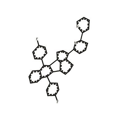 Fc1ccc(-c2c3c(c(-c4ccc(F)cc4)c4ccccc24)-c2ccc(-c4cccc(-c5ccccn5)n4)c4cccc-3c24)cc1